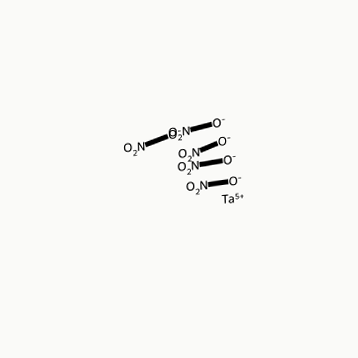 O=[N+]([O-])[O-].O=[N+]([O-])[O-].O=[N+]([O-])[O-].O=[N+]([O-])[O-].O=[N+]([O-])[O-].[Ta+5]